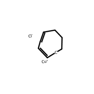 C1=CCCCCC=C1.[Cl-].[Cu+]